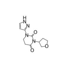 O=C1CCN(c2cc[nH]n2)C(=O)N1C1CCOC1